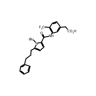 CCC(C)n1c(CCCc2ccccc2)ccc1C(=O)Nc1cc(CC(=O)O)ccc1C(F)(F)F